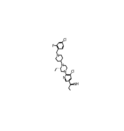 CCC(=N)c1cnc(N2CCN(C3CCN(Cc4ccc(Cl)cc4F)CC3)[C@@H](CC)C2)c(Cl)c1